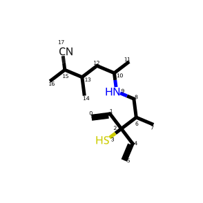 C=CC(S)(C=C)C(C)CNC(C)CC(C)C(C)C#N